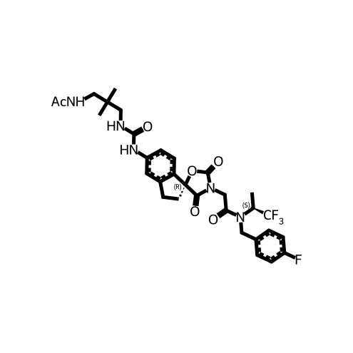 CC(=O)NCC(C)(C)CNC(=O)Nc1ccc2c(c1)CC[C@@]21OC(=O)N(CC(=O)N(Cc2ccc(F)cc2)[C@@H](C)C(F)(F)F)C1=O